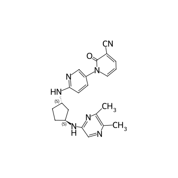 Cc1ncc(N[C@H]2CC[C@H](Nc3ccc(-n4cccc(C#N)c4=O)cn3)C2)nc1C